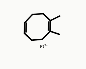 CC1=C(C)CCC=CCC1.[Pt+2]